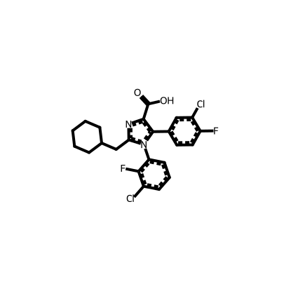 O=C(O)c1nc(CC2CCCCC2)n(-c2cccc(Cl)c2F)c1-c1ccc(F)c(Cl)c1